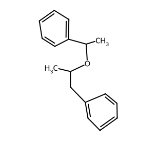 CC(Cc1ccccc1)OC(C)c1ccccc1